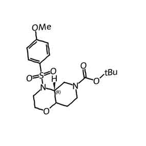 COc1ccc(S(=O)(=O)N2CCOC3CCN(C(=O)OC(C)(C)C)C[C@H]32)cc1